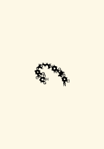 CC1(C)C(NC(=O)c2ccc(N3CC(CCCN4CC(Oc5ccc6c(c5)C(=O)N(C5CCC(=O)NC5=O)C6=O)C4)C3)cc2)C(C)(C)C1Oc1ccc(C#N)c(Cl)c1